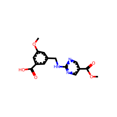 COC(=O)c1cnc(NCc2cc(OC)cc(C(=O)O)c2)nc1